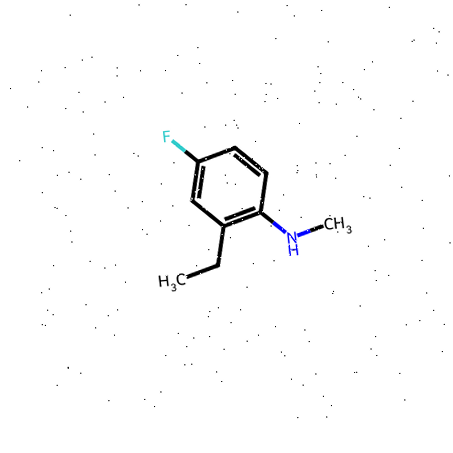 CCc1cc(F)ccc1NC